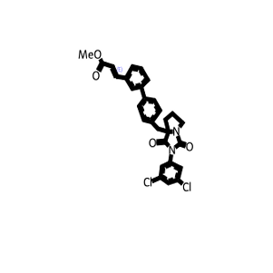 COC(=O)/C=C/c1cccc(-c2ccc(CC34CCCN3C(=O)N(c3cc(Cl)cc(Cl)c3)C4=O)cc2)c1